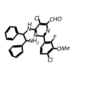 COc1c(Cl)ccc(-c2nc(C=O)c(Cl)c(NC(c3ccccc3)C(N)c3ccccc3)n2)c1F